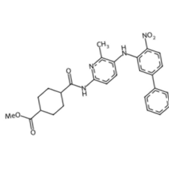 COC(=O)C1CCC(C(=O)Nc2ccc(Nc3cc(-c4ccccc4)ccc3[N+](=O)[O-])c(C)n2)CC1